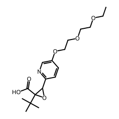 CCOCCOCCOc1ccc(C2OC2(C(=O)O)C(C)(C)C)nc1